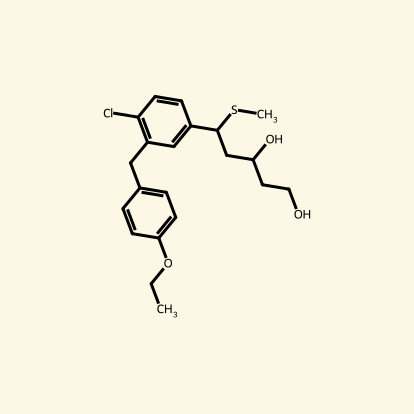 CCOc1ccc(Cc2cc(C(CC(O)CCO)SC)ccc2Cl)cc1